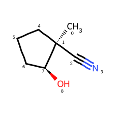 C[C@@]1(C#N)CCC[C@@H]1O